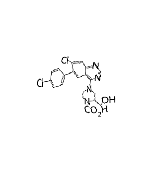 O=C(O)N1CCN(c2ncnc3cc(Cl)c(-c4ccc(Cl)cc4)cc23)CC1CO